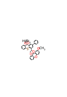 COc1ccc2c(c1)C1(OCC(c3cc(-c4ccccc4)cc4c3Sc3ccccc3C4(OC)OC)O1)c1ccccc1O2